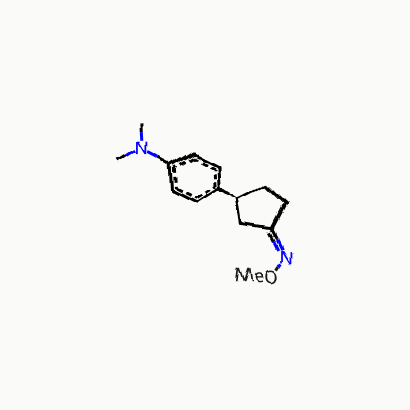 CON=C1CC[C@H](c2ccc(N(C)C)cc2)C1